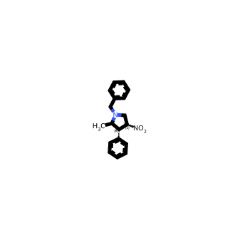 CC1[C@@H](c2ccccc2)[C@H]([N+](=O)[O-])CN1Cc1ccccc1